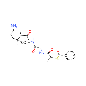 CC(SC(=O)c1ccccc1)C(=O)NCC(=O)NCC(=O)C1CC(N)CCC1(C)C(=O)O